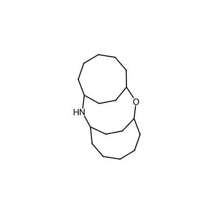 C1CCC2CCC(CC1)OC1CCCCCC(CC1)N2